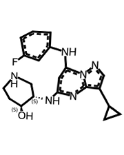 O[C@H]1CCNC[C@@H]1Nc1cc(Nc2cccc(F)c2)n2ncc(C3CC3)c2n1